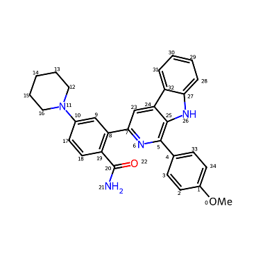 COc1ccc(-c2nc(-c3cc(N4CCCCC4)ccc3C(N)=O)cc3c2[nH]c2ccccc23)cc1